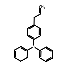 C=CCc1ccc(P(C2=CC=CCC2)c2ccccc2)cc1